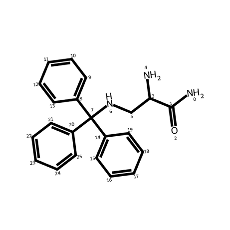 NC(=O)C(N)CNC(c1ccccc1)(c1ccccc1)c1ccccc1